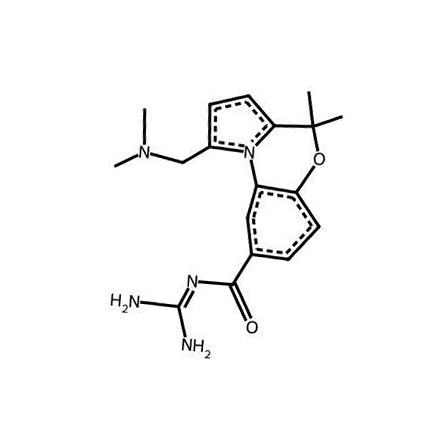 CN(C)Cc1ccc2n1-c1cc(C(=O)N=C(N)N)ccc1OC2(C)C